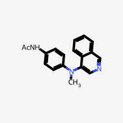 CC(=O)Nc1ccc(N(C)c2cncc3ccccc23)cc1